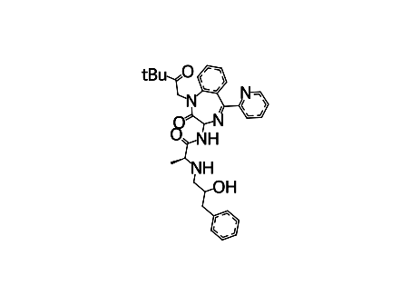 C[C@H](NCC(O)Cc1ccccc1)C(=O)NC1N=C(c2ccccn2)c2ccccc2N(CC(=O)C(C)(C)C)C1=O